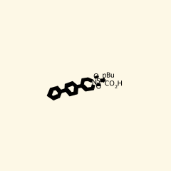 CCCC[C@@H](C(=O)O)S(=O)(=O)N1CC=C(c2ccc(-c3ccccc3)cc2)CC1